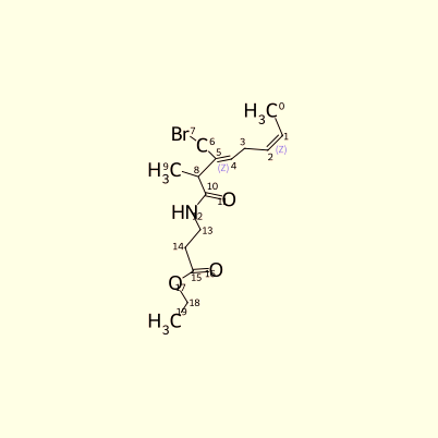 C/C=C\C/C=C(\CBr)C(C)C(=O)NCCC(=O)OCC